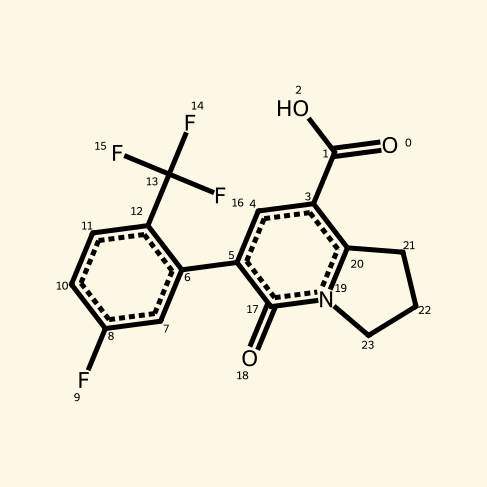 O=C(O)c1cc(-c2cc(F)ccc2C(F)(F)F)c(=O)n2c1CCC2